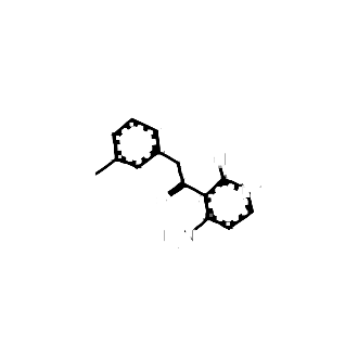 Cc1cccc(CC(=O)c2c(N)ccnc2Cl)c1